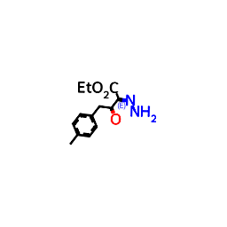 CCOC(=O)/C(=N/N)C(=O)Cc1ccc(C)cc1